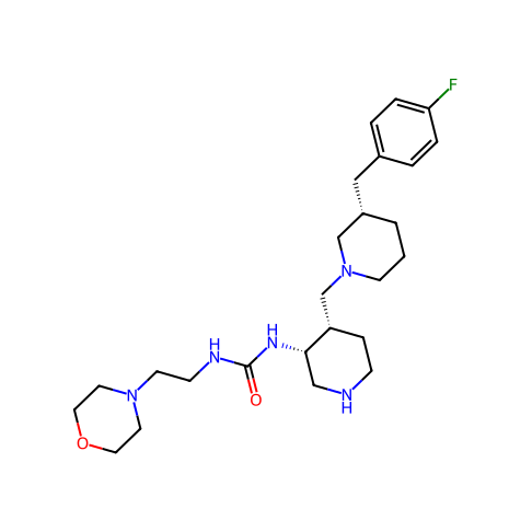 O=C(NCCN1CCOCC1)N[C@H]1CNCC[C@H]1CN1CCC[C@@H](Cc2ccc(F)cc2)C1